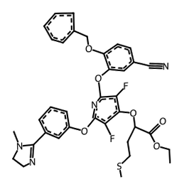 CCOC(=O)C(CCSC)Oc1c(F)c(Oc2cccc(C3=NCCN3C)c2)nc(Oc2cc(C#N)ccc2OCc2ccccc2)c1F